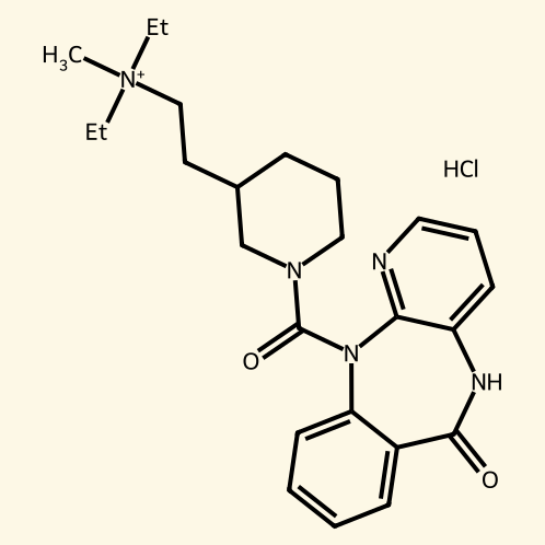 CC[N+](C)(CC)CCC1CCCN(C(=O)N2c3ccccc3C(=O)Nc3cccnc32)C1.Cl